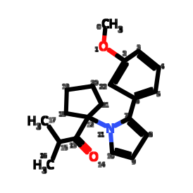 COc1cccc(-c2cccn2C2(C(=O)C(C)C)CCCC2)c1